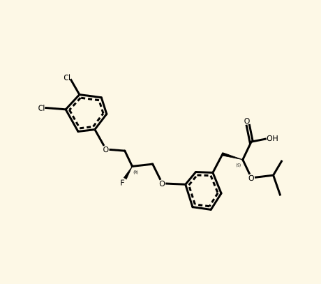 CC(C)O[C@@H](Cc1cccc(OC[C@@H](F)COc2ccc(Cl)c(Cl)c2)c1)C(=O)O